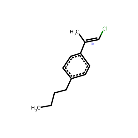 CCCCc1ccc(/C(C)=C/Cl)cc1